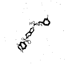 O=S(=O)(c1ccc2ncsc2c1)N1CC2=C(CN(C(O)NCc3cccc(F)c3)C2)C1